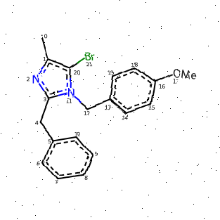 [CH2]c1nc(Cc2ccccc2)n(Cc2ccc(OC)cc2)c1Br